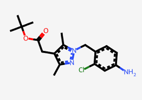 Cc1nn(Cc2ccc(N)cc2Cl)c(C)c1CC(=O)OC(C)(C)C